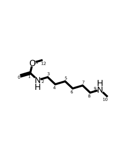 C=C(NCCCCCCNC)OC